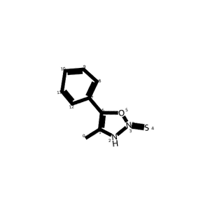 Cc1[nH][n+](=S)oc1-c1ccccc1